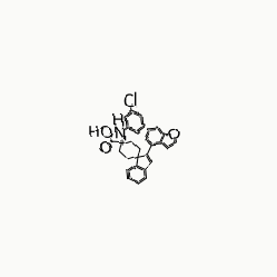 O=C(O)C1(Nc2cccc(Cl)c2)CCC2(CC1)C(c1cccc3occc13)=Cc1ccccc12